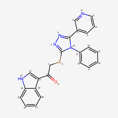 O=C(CSc1nnc(-c2cccnc2)n1-c1ccccc1)c1c[nH]c2ccccc12